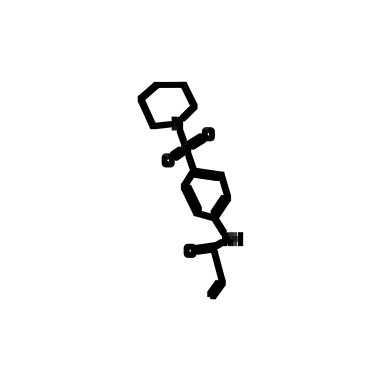 C=CC(=O)Nc1ccc(S(=O)(=O)N2CCCCC2)cc1